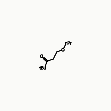 CCCOCCC(=O)C(C)(C)C